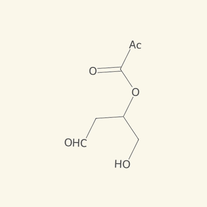 CC(=O)C(=O)OC(CO)CC=O